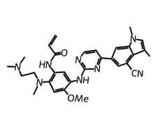 C=CC(=O)Nc1cc(Nc2nccc(-c3cc(C#N)c4c(C)cn(C)c4c3)n2)c(OC)cc1N(C)CCN(C)C